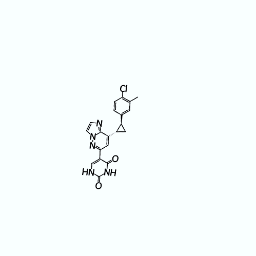 Cc1cc([C@H]2C[C@@H]2c2cc(-c3c[nH]c(=O)[nH]c3=O)nn3ccnc23)ccc1Cl